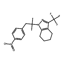 CC(C)(Cc1ccc([N+](=O)[O-])cc1)n1nc(C(F)(F)F)c2c1CCCC2